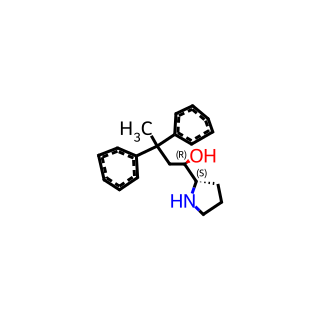 CC(C[C@@H](O)[C@@H]1CCCN1)(c1ccccc1)c1ccccc1